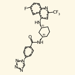 O=C(N[C@@H]1CCC[C@H](Nc2cc(C(F)(F)F)nc3ccc(F)cc23)C1)c1ccc(-n2cnnn2)cc1